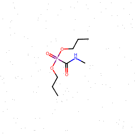 CCCOP(=O)(OCCC)C(=O)NC